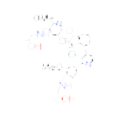 COc1cc(-c2nccc(-c3cccc4c3CC[C@@H]4Oc3nc(OC)c(CNCC(C)O)cc3C(F)(F)F)c2Cl)ccc1CNCC(C)O